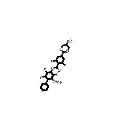 CCCC1COC(c2cc(F)c(C(=O)Oc3c(F)c(F)c(-c4ccccc4)c(OC)c3F)c(F)c2)OC1